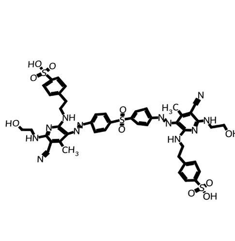 Cc1c(C#N)c(NCCO)nc(NCCc2ccc(S(=O)(=O)O)cc2)c1/N=N/c1ccc(S(=O)(=O)c2ccc(/N=N/c3c(NCCc4ccc(S(=O)(=O)O)cc4)nc(NCCO)c(C#N)c3C)cc2)cc1